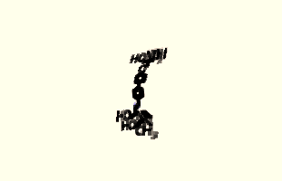 C[C@H](O)c1nccn1C(/C=C/c1ccc(-c2ccc(OCC(N)(CO)CO)cc2)cc1)CO